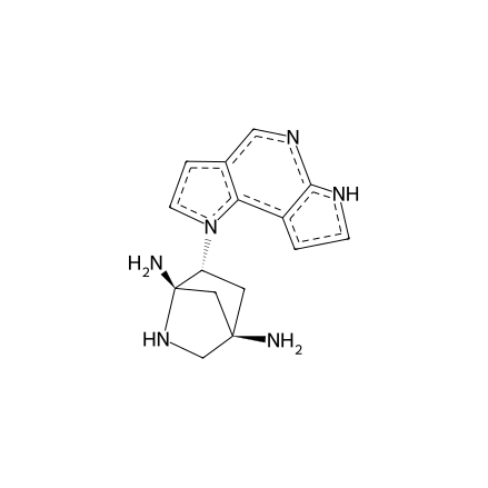 N[C@@]12CN[C@@](N)(C1)[C@H](n1ccc3cnc4[nH]ccc4c31)C2